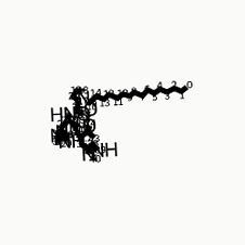 CCCCCCCCCCCCCCCC(=O)N1CCCC1C(=O)NC(Cc1c[nH]cn1)C(=O)NC(Cc1c[nH]cn1)C(C)=O